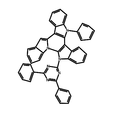 c1ccc(-c2nc(-c3ccccc3)nc(-n3c4ccccc4c4c5c(c6ccccc6n5-c5ccccc5)c5cc6ccccc6n5c43)n2)cc1